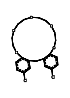 Clc1ccc2c(c1)Cc1cc(Cl)ccc1OCCOCCOCCOCCO2